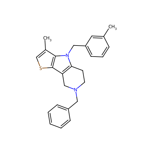 Cc1cccc(Cn2c3c(c4scc(C)c42)CN(Cc2ccccc2)CC3)c1